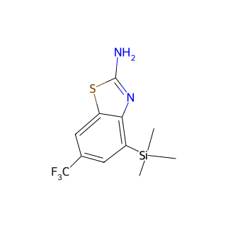 C[Si](C)(C)c1cc(C(F)(F)F)cc2sc(N)nc12